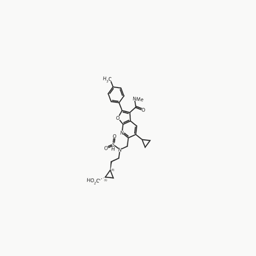 CNC(=O)c1c(-c2ccc(C)cc2)oc2nc(CN(CC[C@H]3C[C@@H]3C(=O)O)[SH](=O)=O)c(C3CC3)cc12